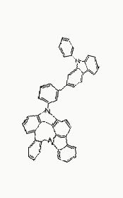 c1ccc(-n2c3ccccc3c3ccc(-c4cccc(-n5c6cccc7c8ccccc8n8c9ccccc9c9ccc5c(c76)c98)c4)cc32)cc1